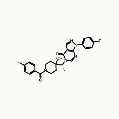 C[C@@H](n1cnc2c(cnn2-c2ccc(F)cc2)c1=O)C1(O)CCN(C(=O)c2ccc(F)cc2)CC1